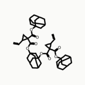 C=CC1CC1(C(=O)OC12CC3CC(CC(C3)C1)C2)C(=O)OC12CC3CC(C1)CC(OC(=O)C1(C(=O)OC45CC6CC(CC(C6)C4)C5)CC1C=C)(C3)C2